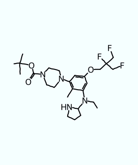 CCN(c1cc(OCC(F)(CF)CF)cc(N2CCN(C(=O)OC(C)(C)C)CC2)c1C)C1CCCN1